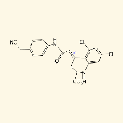 N#CCc1ccc(NC(=O)/C=C2\CC(C(=O)O)Nc3cc(Cl)cc(Cl)c32)cc1